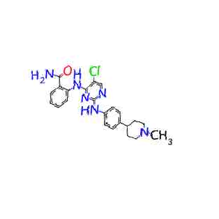 CN1CCC(c2ccc(Nc3ncc(Cl)c(Nc4ccccc4C(N)=O)n3)cc2)CC1